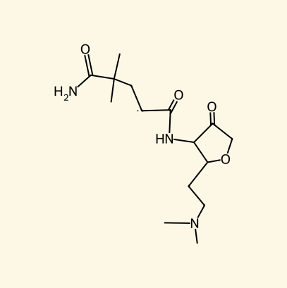 CN(C)CCC1OCC(=O)C1NC(=O)[CH]CC(C)(C)C(N)=O